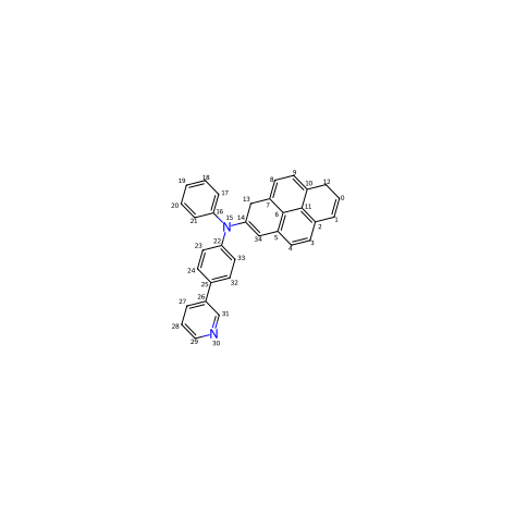 C1=Cc2ccc3c4c(ccc(c24)C1)CC(N(c1ccccc1)c1ccc(-c2cccnc2)cc1)=C3